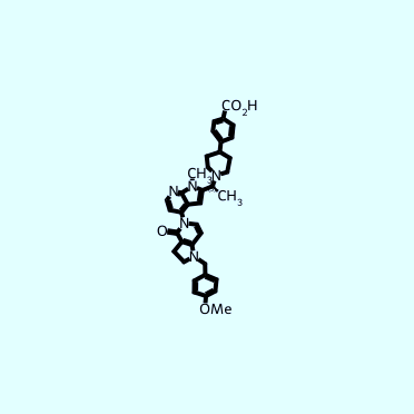 COc1ccc(CN2CCc3c2ccn(-c2ccnc4c2cc([C@H](C)N2CCC(c5ccc(C(=O)O)cc5)CC2)n4C)c3=O)cc1